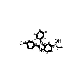 CCN(O)c1ccc2nc(-c3ccc(Cl)cc3)n(-c3ccccc3)c2c1